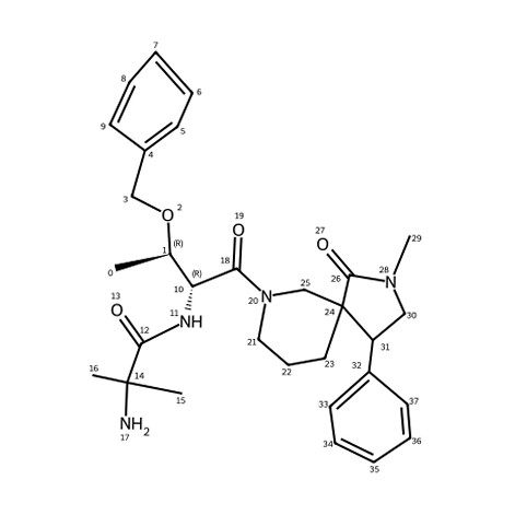 C[C@@H](OCc1ccccc1)[C@@H](NC(=O)C(C)(C)N)C(=O)N1CCCC2(C1)C(=O)N(C)CC2c1ccccc1